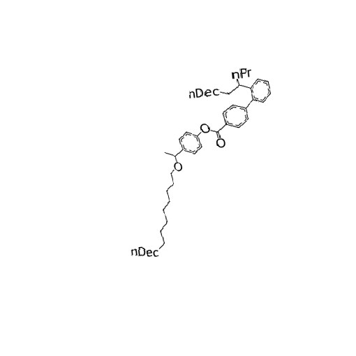 CCCCCCCCCCCCCCCCCCOC(C)c1ccc(OC(=O)c2ccc(-c3ccccc3C(CCC)CCCCCCCCCCC)cc2)cc1